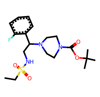 CCS(=O)(=O)NCC(c1ccccc1F)N1CCN(C(=O)OC(C)(C)C)CC1